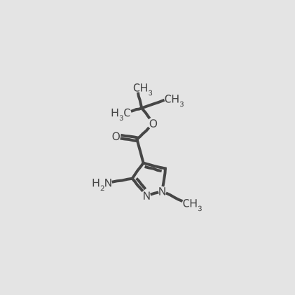 Cn1cc(C(=O)OC(C)(C)C)c(N)n1